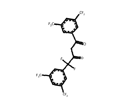 O=C(CC(=O)C(F)(F)c1cc(C(F)(F)F)cc(C(F)(F)F)c1)c1cc(C(F)(F)F)cc(C(F)(F)F)c1